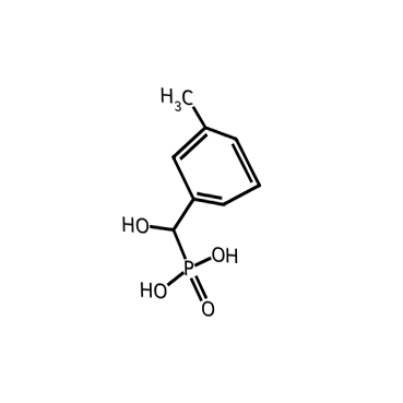 Cc1cccc(C(O)P(=O)(O)O)c1